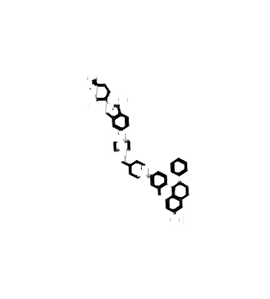 Cc1cc(N2CCC(CN3CCN(c4ccc5c(c4)CN([C@H]4CCC(=O)NC4=O)C5=O)CC3)CC2)ccc1[C@H]1c2ccc(O)cc2CC[C@H]1c1ccccc1